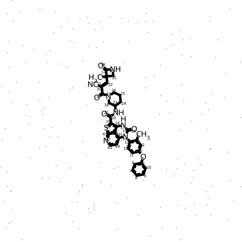 Cc1cc(Oc2ccccc2)ccc1N1C(=O)Nc2c(C(=O)NC3CCCN(C(=O)C(C#N)=CC4(C)CNC4=O)C3)sc3nccc1c23